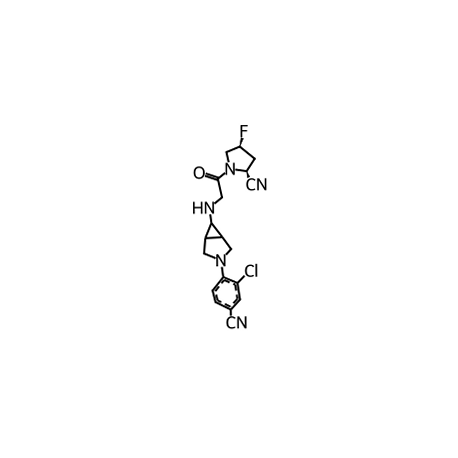 N#Cc1ccc(N2CC3C(C2)C3NCC(=O)N2C[C@@H](F)C[C@H]2C#N)c(Cl)c1